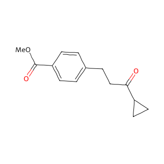 COC(=O)c1ccc(CCC(=O)C2CC2)cc1